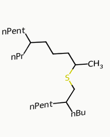 CCCCCC(CCC)CCCC(C)SCC(CCCC)CCCCC